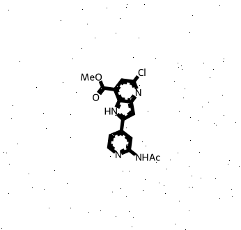 COC(=O)c1cc(Cl)nc2cc(-c3ccnc(NC(C)=O)c3)[nH]c12